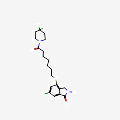 [2H]N1Cc2c(SCCCCCCC(=O)N3CCC(F)(F)CC3)cc(F)cc2C1=O